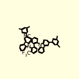 Cc1cc(C)cc(-c2ccc3c(c2)c2ccccc2n3-c2ccc(C#N)cc2-c2cccc(C(F)(F)F)c2-n2c3ccccc3c3cc(-c4cc(C)cc(C)c4)ccc32)c1